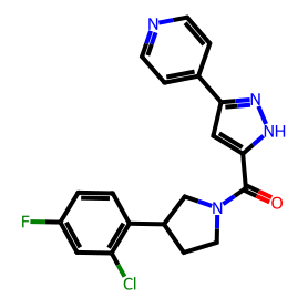 O=C(c1cc(-c2ccncc2)n[nH]1)N1CCC(c2ccc(F)cc2Cl)C1